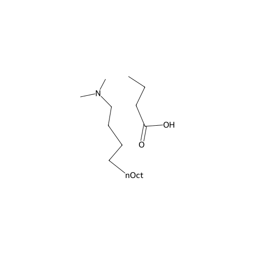 CCCC(=O)O.CCCCCCCCCCCCN(C)C